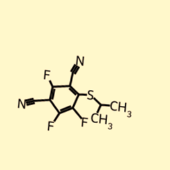 CC(C)Sc1c(F)c(F)c(C#N)c(F)c1C#N